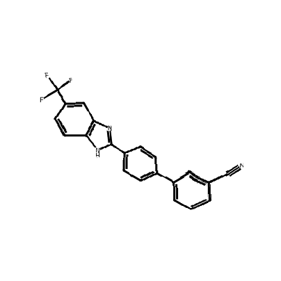 N#Cc1cccc(-c2ccc(-c3nc4cc(C(F)(F)F)ccc4[nH]3)cc2)c1